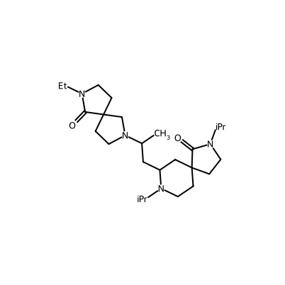 CCN1CCC2(CCN(C(C)CC3CC4(CCN(C(C)C)C4=O)CCN3C(C)C)C2)C1=O